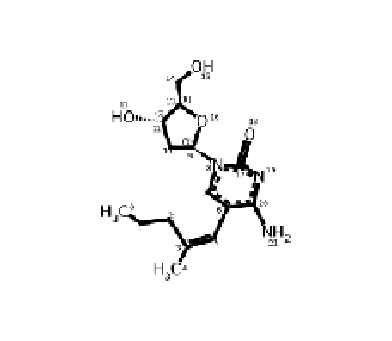 CCCC(C)=Cc1cn([C@H]2C[C@H](O)[C@@H](CO)O2)c(=O)nc1N